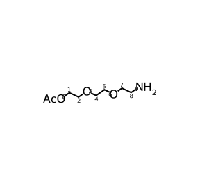 CC(=O)OCCOCCOCCN